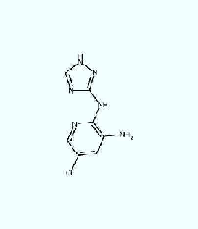 Nc1cc(Cl)cnc1Nc1nc[nH]n1